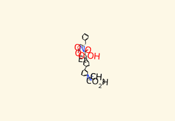 CCO[C@H](C(=O)N1C(=O)OC[C@@H]1Cc1ccccc1)[C@H](O)c1ccc(-c2cccc(N(C)C(=O)O)c2)cc1